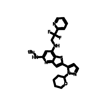 CC(C)(C)Nc1cc(NCC(F)(F)c2ccccn2)c2sc(-c3ccnn3C3CCCCO3)cc2n1